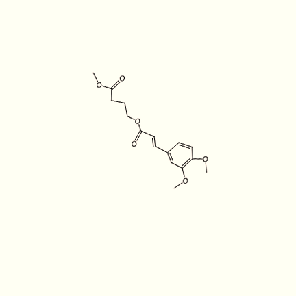 COC(=O)CCCOC(=O)/C=C/c1ccc(OC)c(OC)c1